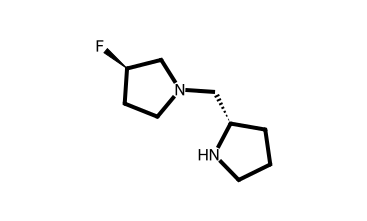 F[C@@H]1CCN(C[C@@H]2CCCN2)C1